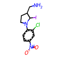 NCC1CCN(c2ccc([N+](=O)[O-])cc2Cl)C1I